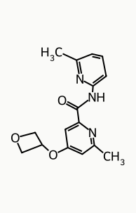 Cc1cccc(NC(=O)c2cc(OC3COC3)cc(C)n2)n1